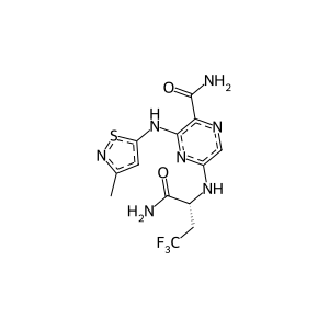 Cc1cc(Nc2nc(N[C@H](CC(F)(F)F)C(N)=O)cnc2C(N)=O)sn1